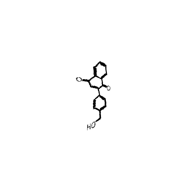 O=C1C=C(c2ccc(CO)cc2)C(=O)c2ccccc21